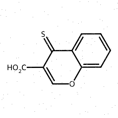 O=C(O)c1coc2ccccc2c1=S